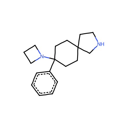 c1ccc(C2(N3CCC3)CCC3(CCNC3)CC2)cc1